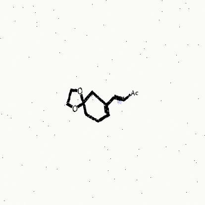 CC(=O)/C=C/C1=CCCC2(C1)OCCO2